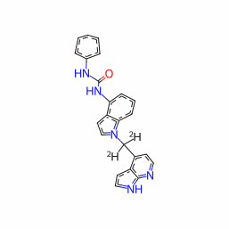 [2H]C([2H])(c1ccnc2[nH]ccc12)n1ccc2c(NC(=O)Nc3ccccc3)cccc21